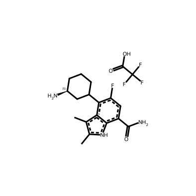 Cc1[nH]c2c(C(N)=O)cc(F)c(C3CCC[C@H](N)C3)c2c1C.O=C(O)C(F)(F)F